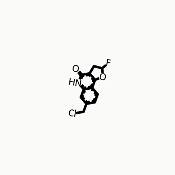 O=c1[nH]c2cc(CCl)ccc2c2c1CC(F)O2